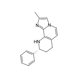 Cc1cn2ccc3c(c2n1)N[C@@H](c1ccccc1)CC3